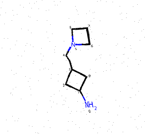 NC1CC(CN2CCC2)C1